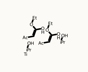 CC(C)O.CC(C)O.CCO/C(O)=C\C(C)=O.CCO/C(O)=C\C(C)=O.[Ti]